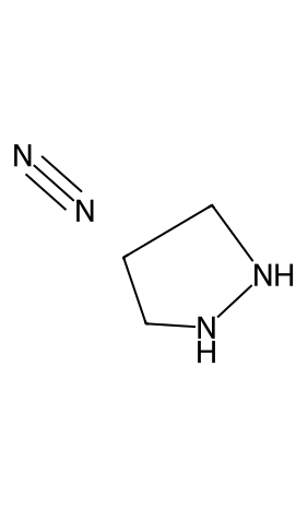 C1CNNC1.N#N